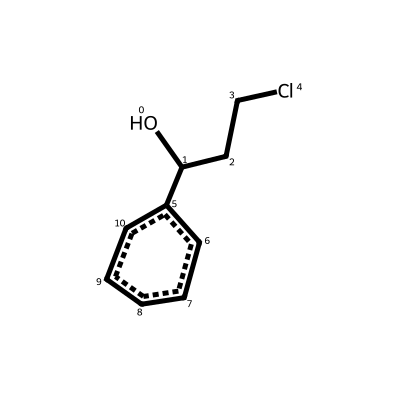 OC(CCCl)c1ccccc1